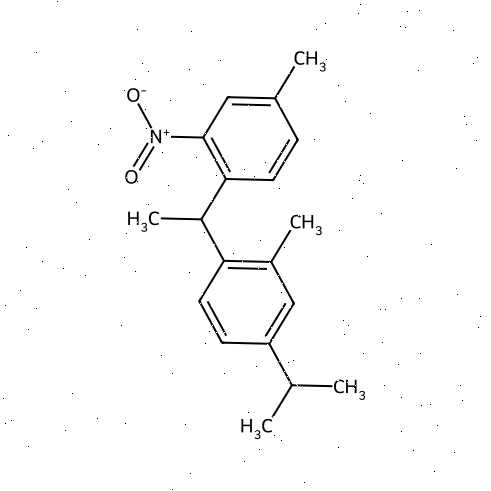 Cc1ccc(C(C)c2ccc(C(C)C)cc2C)c([N+](=O)[O-])c1